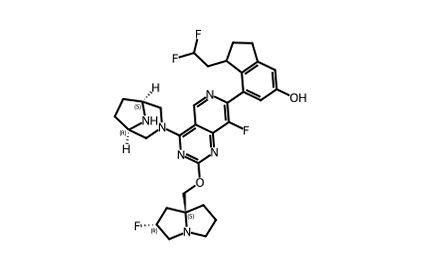 Oc1cc2c(c(-c3ncc4c(N5C[C@H]6CC[C@@H](C5)N6)nc(OC[C@@]56CCCN5C[C@H](F)C6)nc4c3F)c1)C(CC(F)F)CC2